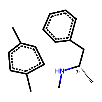 CN[C@@H](C)Cc1ccccc1.Cc1ccc(C)cc1